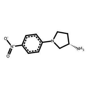 N[C@H]1CCN(c2ccc([N+](=O)[O-])cc2)C1